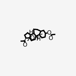 CC(=O)OC1CC[C@@]2(C)C(CC[C@@H]3[C@@H]2CC[C@]2(C)[C@@H](C(C)=O)CC[C@@]32O)C1